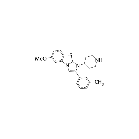 COc1ccc2c(c1)N1C=C(c3cccc(C)c3)N(C3CCNCC3)C1S2